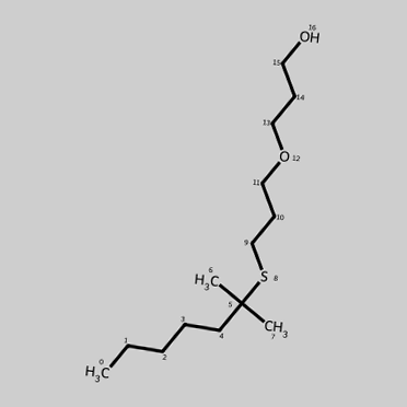 CCCCCC(C)(C)SCCCOCCCO